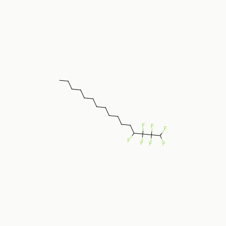 CCCCCCCCCCCCC(F)C(F)(F)C(F)(F)[C](F)F